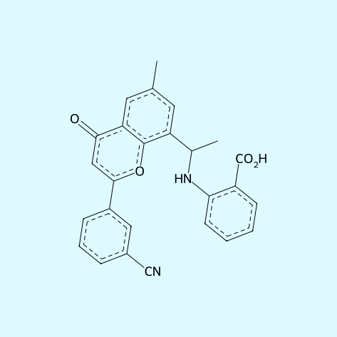 Cc1cc(C(C)Nc2ccccc2C(=O)O)c2oc(-c3cccc(C#N)c3)cc(=O)c2c1